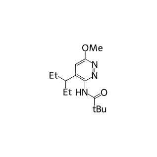 CCC(CC)c1cc(OC)nnc1NC(=O)C(C)(C)C